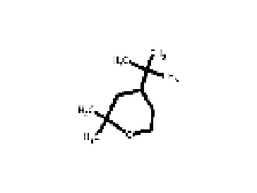 CC1(C)CC(C(C)(C)C)CCO1